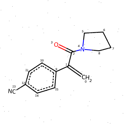 C=C(C(=O)N1CCCC1)c1ccc(C#N)cc1